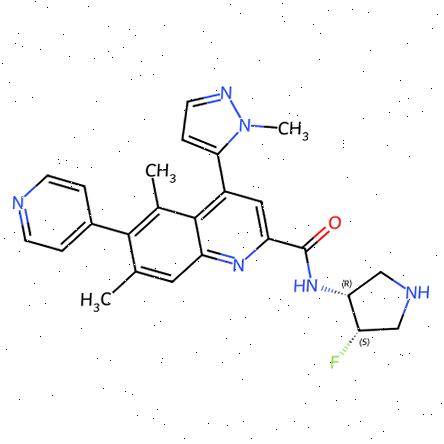 Cc1cc2nc(C(=O)N[C@@H]3CNC[C@@H]3F)cc(-c3ccnn3C)c2c(C)c1-c1ccncc1